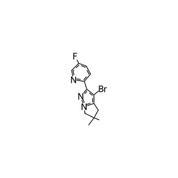 CC1(C)Cc2c(Br)c(-c3ccc(F)cn3)nn2C1